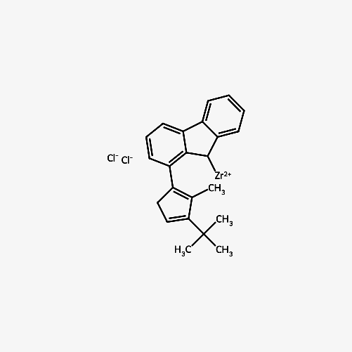 CC1=C(c2cccc3c2[CH]([Zr+2])c2ccccc2-3)CC=C1C(C)(C)C.[Cl-].[Cl-]